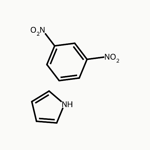 O=[N+]([O-])c1cccc([N+](=O)[O-])c1.c1cc[nH]c1